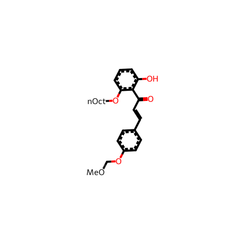 CCCCCCCCOc1cccc(O)c1C(=O)/C=C/c1ccc(OCOC)cc1